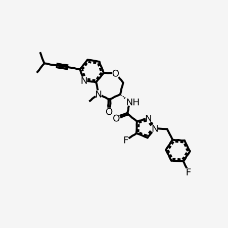 CC(C)C#Cc1ccc2c(n1)N(C)C(=O)[C@@H](NC(=O)c1nn(Cc3ccc(F)cc3)cc1F)CO2